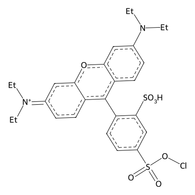 CCN(CC)c1ccc2c(-c3ccc(S(=O)(=O)OCl)cc3S(=O)(=O)O)c3ccc(=[N+](CC)CC)cc-3oc2c1